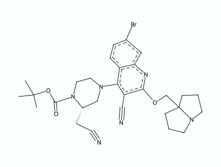 CC(C)(C)OC(=O)N1CCN(c2c(C#N)c(OCC34CCCN3CCC4)nc3cc(Br)ccc23)C[C@@H]1CC#N